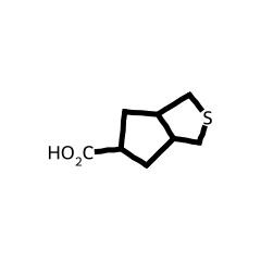 O=C(O)C1CC2CSCC2C1